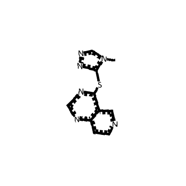 Cn1cnnc1Sc1ncnc2ccncc12